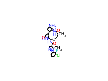 Cc1c(C(=O)N[C@H]2CCC[C@@H](C)C(=O)Nc3cc(N)ccc3-c3cc2[nH]c(=O)c3)cnn1-c1cccc(Cl)c1F